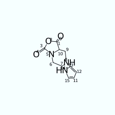 O=C1OC(=O)N2CCNCC12.c1cc[nH]c1